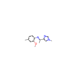 COc1cc(C)ccc1N=C(C)c1cn(C)cn1